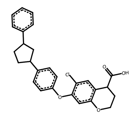 O=C(O)C1CCOc2cc(Oc3ccc(C4CCC(c5ccccc5)C4)cc3)c(Cl)cc21